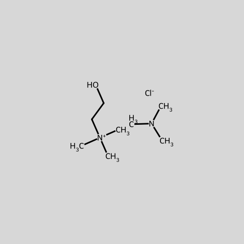 CN(C)C.C[N+](C)(C)CCO.[Cl-]